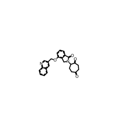 O=C1CCC(=O)C(N2Cc3c(OCc4cnc5ccccc5c4)cccc3C2=O)CC1